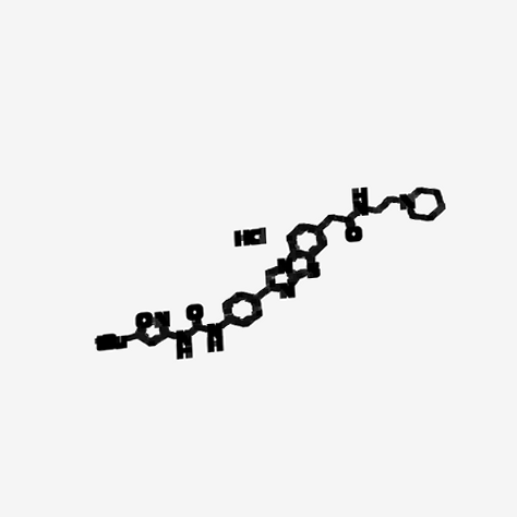 CC(C)(C)c1cc(NC(=O)Nc2ccc(-c3cn4c(n3)sc3cc(CC(=O)NCCN5CCCCC5)ccc34)cc2)no1.Cl